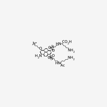 CC(=O)C(CCCCN)NCCCN(C)S(=O)(=O)c1cc(S(=O)(=O)N(C)CCCNC(CCCCN)C(=O)O)c2ccc3c(OCCC[N+](C)(C)C)cc(N)c4ccc1c2c43